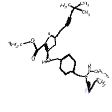 C/C=C\N(NC)C1CCC(NC2=C(C(=O)OC)SC(C#CC(C)(C)C)C2)CC1